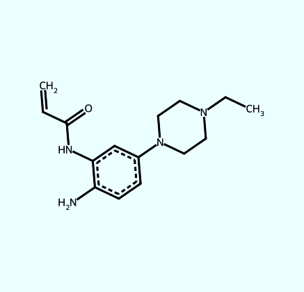 C=CC(=O)Nc1cc(N2CCN(CC)CC2)ccc1N